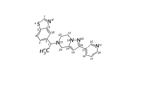 CC(c1ccc2scnc2c1)N1CCn2nc(-c3cccnc3)cc2C1